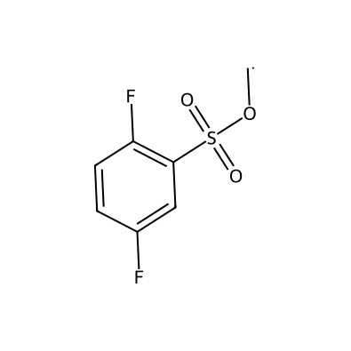 [CH2]OS(=O)(=O)c1cc(F)ccc1F